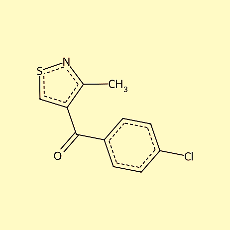 Cc1nscc1C(=O)c1ccc(Cl)cc1